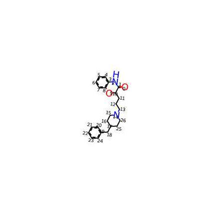 O=C1Nc2ccccc2OC1CCCN1CCC(Cc2ccccc2)CC1